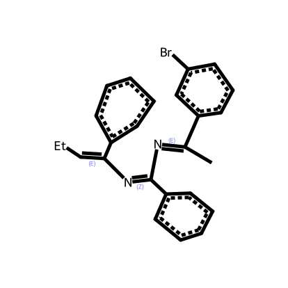 CC/C=C(/N=C(\N=C(/C)c1cccc(Br)c1)c1ccccc1)c1ccccc1